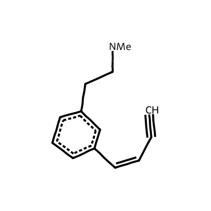 C#C/C=C\c1cccc(CCNC)c1